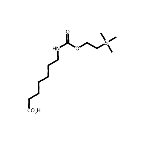 C[Si](C)(C)CCOC(=O)NCCCCCCC(=O)O